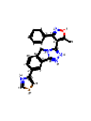 Cc1onc(-c2ccccc2)c1-c1nnc2n1Cc1ccc(-c3cscn3)cc1-2